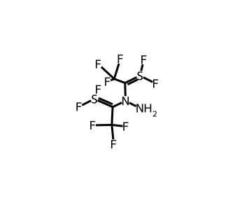 NN(C(=S(F)F)C(F)(F)F)C(=S(F)F)C(F)(F)F